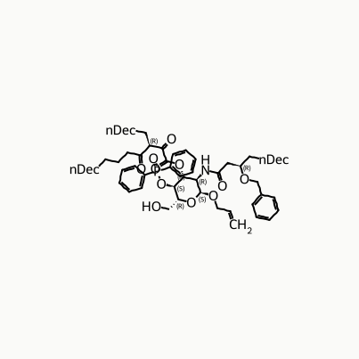 C=CCO[C@H]1O[C@H](CO)[C@@H](OP(=O)(c2ccccc2)c2ccccc2)[C@H](OC(=O)C(=O)[C@H](CCCCCCCCCCC)C(=O)CCCCCCCCCCCCC)[C@H]1NC(=O)C[C@@H](CCCCCCCCCCC)OCc1ccccc1